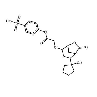 O=C(COC1CC(C2(O)CCCC2)C2CC1OC2=O)Oc1ccc(S(=O)(=O)O)cc1